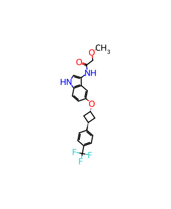 COCC(=O)Nc1c[nH]c2ccc(O[C@H]3C[C@H](c4ccc(C(F)(F)F)cc4)C3)cc12